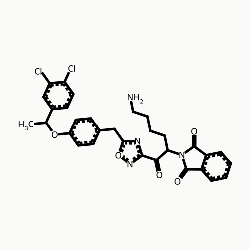 CC(Oc1ccc(Cc2nc(C(=O)C(CCCCN)N3C(=O)c4ccccc4C3=O)no2)cc1)c1ccc(Cl)c(Cl)c1